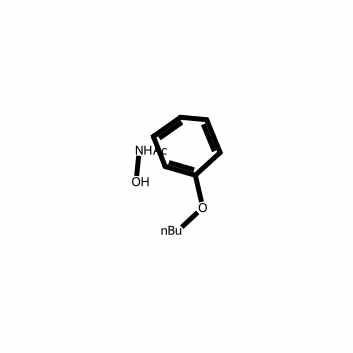 CC(=O)NO.CCCCOc1ccccc1